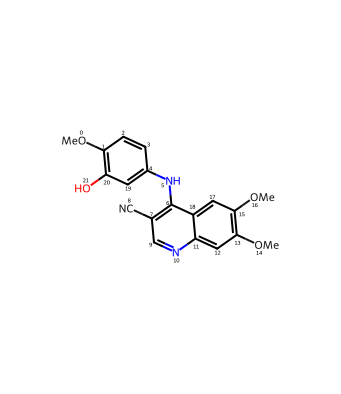 COc1ccc(Nc2c(C#N)cnc3cc(OC)c(OC)cc23)cc1O